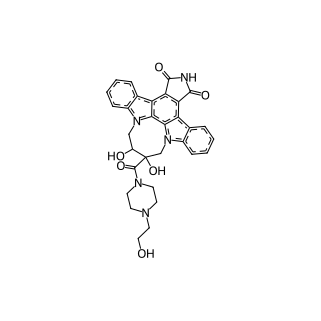 O=C1NC(=O)c2c1c1c3ccccc3n3c1c1c2c2ccccc2n1CC(O)(C(=O)N1CCN(CCO)CC1)C(O)C3